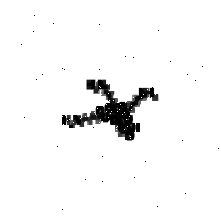 NCCCCCC(=O)OC[C@H]1O[C@@H](n2ccc(=O)[nH]c2=O)[C@H](OC(=O)CCCCCN)[C@@H]1OC(=O)CCCCCN